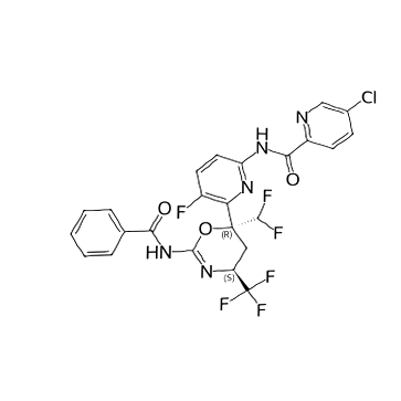 O=C(NC1=N[C@H](C(F)(F)F)C[C@@](c2nc(NC(=O)c3ccc(Cl)cn3)ccc2F)(C(F)F)O1)c1ccccc1